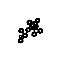 c1ccc(-c2ccccc2-c2ccc3c(c2)c2cc(-c4ccc5c(oc6ccccc65)c4-c4ccccc4)ccc2n3-c2ccccc2-n2c3ccccc3c3ccccc32)cc1